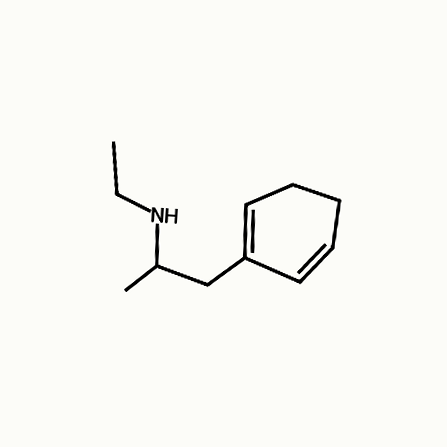 CCNC(C)CC1=CCCC=C1